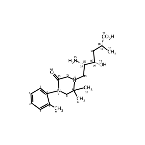 Cc1ccccc1N1CC(C)(C)N(C[C@H](N)[C@@H](O)C[C@@H](C)C(=O)O)CC1=O